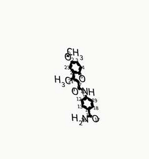 COc1ccc2oc(C(=O)Nc3ccc(C(N)=O)cc3)c(C)c2c1